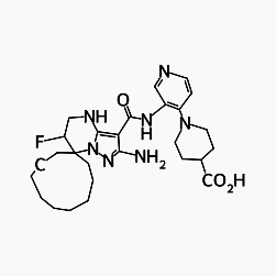 Nc1nn2c(c1C(=O)Nc1cnccc1N1CCC(C(=O)O)CC1)NCC(F)C21CCCCCCCCC1